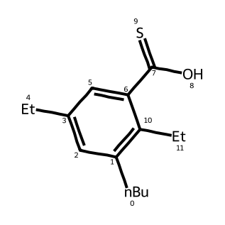 CCCCc1cc(CC)cc(C(O)=S)c1CC